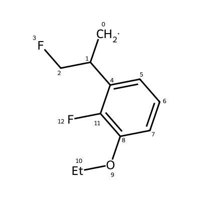 [CH2]C(CF)c1cccc(OCC)c1F